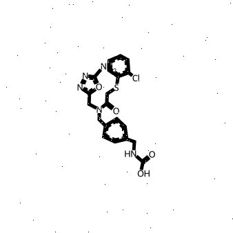 Nc1nnc(CN(Cc2ccc(CNC(=O)O)cc2)C(=O)CSc2ccccc2Cl)o1